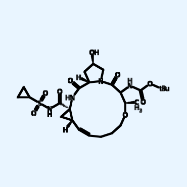 C[C@H]1OCCC/C=C\[C@@H]2C[C@@]2(C(=O)NS(=O)(=O)C2CC2)NC(=O)[C@@H]2C[C@@H](O)CN2C(=O)C1NC(=O)OC(C)(C)C